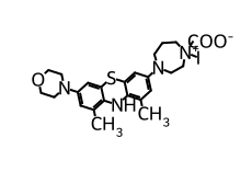 Cc1cc(N2CCOCC2)cc2c1Nc1c(C)cc(N3CCC[N+](I)(C(=O)[O-])CC3)cc1S2